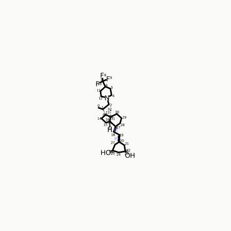 CC(CN1CCC(C(F)(F)F)CC1)[C@H]1CC[C@H]2/C(=C/C=C3/C[C@@H](O)C[C@@H](O)C3)CCC[C@]12C